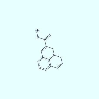 CCCOC(=O)C1=Cc2cccc3c2N(CC=C3)C1